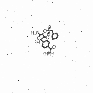 [2H]N([2H])C(=O)c1ccc([C@]2([2H])OC(N)=C(OS(=O)(=O)Cc3ccccc3)C2=O)cc1